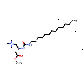 COCCCCCCCCCCCCNC(=O)N[C@H](CC(=O)OC=O)C[N+](C)(C)C